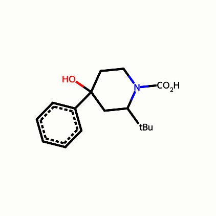 CC(C)(C)C1CC(O)(c2ccccc2)CCN1C(=O)O